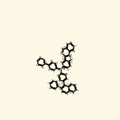 c1ccc(-c2ccc(N(c3ccc(-c4c(-c5ccccc5)ccc5ccccc45)cc3)c3ccc4oc5c6ccccc6cnc5c4c3)cc2)cc1